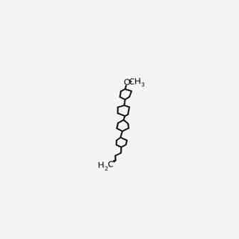 C=CCCC1CCC(C2CCC(C3CCC(C4CCC(OC)CC4)CC3)CC2)CC1